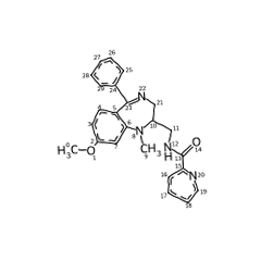 COc1ccc2c(c1)N(C)C(CNC(=O)c1ccccn1)CN=C2c1ccccc1